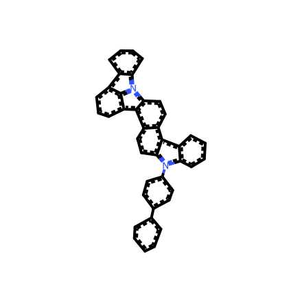 c1ccc(-c2ccc(-n3c4ccccc4c4c5ccc6c(c5ccc43)c3cccc4c5ccccc5n6c43)cc2)cc1